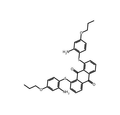 CCCOc1ccc(Sc2cccc3c2C(=O)c2c(Sc4ccc(OCCC)cc4N)cccc2C3=O)c(N)c1